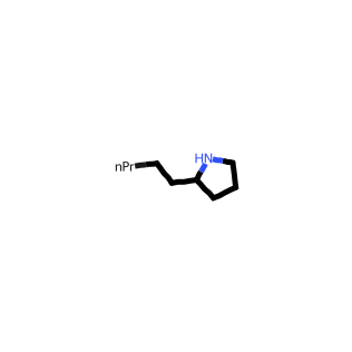 C[CH]CCCC1CCCN1